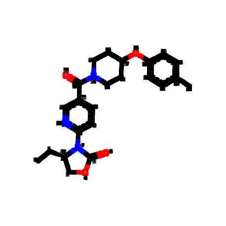 CC[C@@H]1COC(=O)N1c1ccc(C(=O)N2CCC(Oc3ccc(C)cc3)CC2)cn1